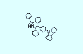 c1ccc(-c2cnn3c(-c4ccccc4)c(-c4ccc(-n5c6ccccc6c6ccccc65)cc4)c4ccccc4c23)cc1